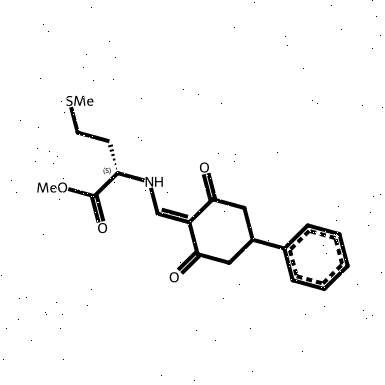 COC(=O)[C@H](CCSC)NC=C1C(=O)CC(c2ccccc2)CC1=O